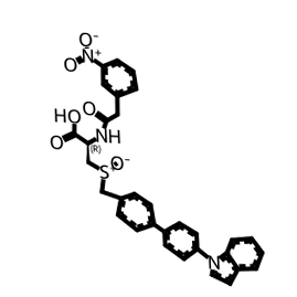 O=C(Cc1cccc([N+](=O)[O-])c1)N[C@@H](C[S+]([O-])Cc1ccc(-c2ccc(-n3ccc4ccccc43)cc2)cc1)C(=O)O